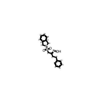 O=S(=O)(CC(CCc1ccccc1)=NO)N1Cc2ccccc2C1